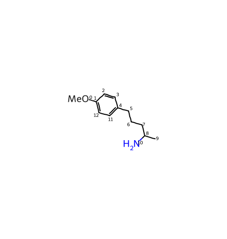 COc1ccc(CCCC(C)N)cc1